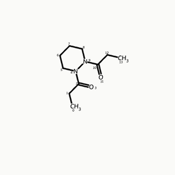 CCC(=O)N1CCCCN1C(=O)CC